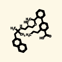 CCCc1cc(-c2ccccc2C(C)OC[C@@H](O)CNC(C)(C)Cc2ccc3ccccc3c2)ccc1C(=O)O